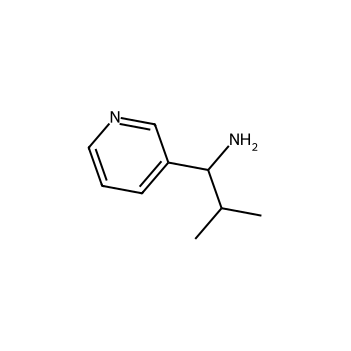 CC(C)C(N)c1cccnc1